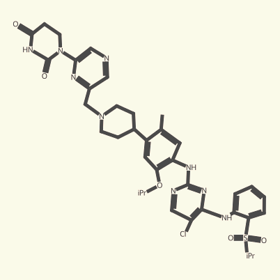 Cc1cc(Nc2ncc(Cl)c(Nc3ccccc3S(=O)(=O)C(C)C)n2)c(OC(C)C)cc1C1CCN(Cc2cncc(N3CCC(=O)NC3=O)n2)CC1